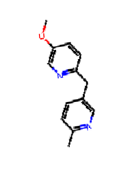 COc1ccc(Cc2ccc(C)nc2)nc1